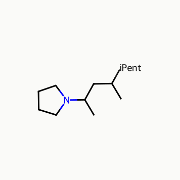 CCCC(C)C(C)CC(C)N1CCCC1